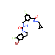 O=C(NCC1CC1)c1cc(F)cc(CNC(=O)N2CCc3cc(Br)c(F)cc32)c1